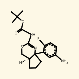 CC(C)(C)OC(=O)NC1=NC2(c3cc(N)ccc3F)CCC[C@H]2CS1